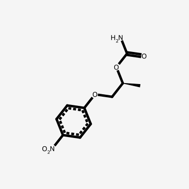 C[C@@H](COc1ccc([N+](=O)[O-])cc1)OC(N)=O